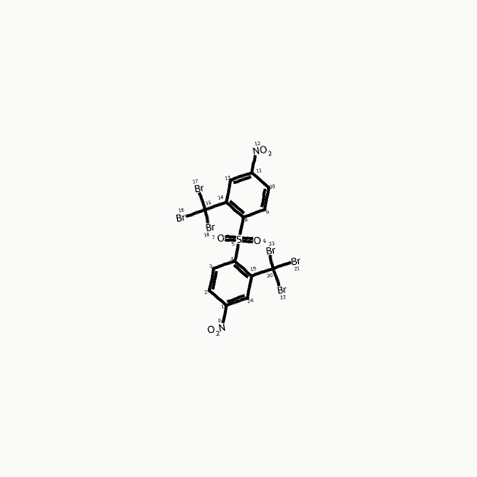 O=[N+]([O-])c1ccc(S(=O)(=O)c2ccc([N+](=O)[O-])cc2C(Br)(Br)Br)c(C(Br)(Br)Br)c1